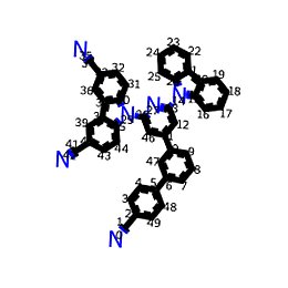 N#Cc1ccc(-c2cccc(-c3cc(-n4c5ccccc5c5ccccc54)nc(-n4c5ccc(C#N)cc5c5cc(C#N)ccc54)c3)c2)cc1